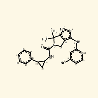 CC1(C)c2[nH]nc(Nc3cc(C#N)ccn3)c2CN1C(=O)NC1CC1c1ccccc1